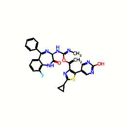 C=C(O/C(=N\C)N[C@@H]1N=C(c2ccccc2)c2cccc(F)c2NC1=O)c1nc(C2CC2)sc1-c1cnc(O)nc1